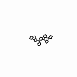 c1ccc(N(c2ccc3c(c2)oc2ccccc23)c2ccc3c(c2)sc2c(N(c4ccccc4)c4ccccc4)cccc23)cc1